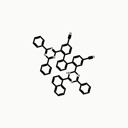 N#Cc1ccc(-c2ccccc2-c2ccc(C#N)cc2C2N=C(c3ccccc3)N=C(c3cccc4ccccc34)N2)c(-c2nc(-c3ccccc3)nc(-c3ccccc3)n2)c1